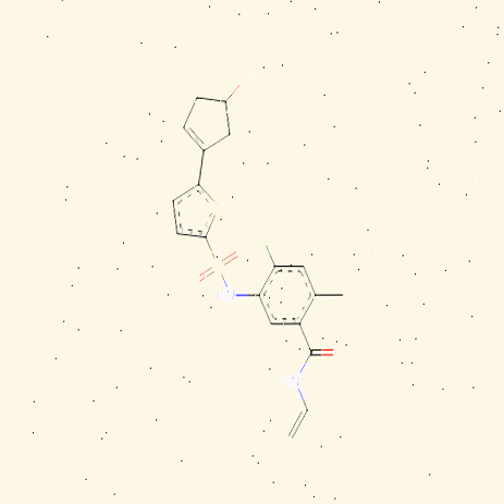 C=CNC(=O)c1cc(NS(=O)(=O)c2ccc(C3=CCC(O)C3)s2)c(F)cc1C